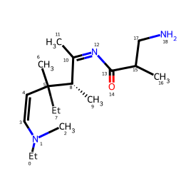 CCN(C)/C=C\C(C)(CC)[C@@H](C)/C(C)=N\C(=O)C(C)CN